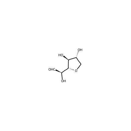 O=C[C@H](O)[C@H]1OC[C@@H](O)[C@@H]1O